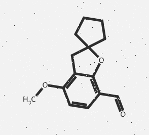 COc1ccc(C=O)c2c1CC1(CCCC1)O2